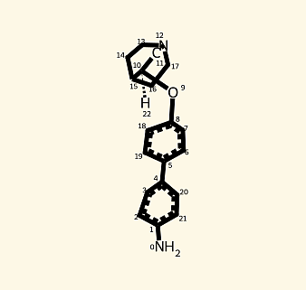 Nc1ccc(-c2ccc(O[C@@H]3CN4CCC3CC4)cc2)cc1